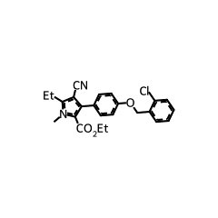 CCOC(=O)c1c(-c2ccc(OCc3ccccc3Cl)cc2)c(C#N)c(CC)n1C